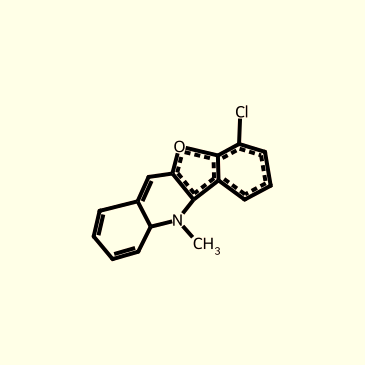 CN1c2c(oc3c(Cl)cccc23)C=C2C=CC=CC21